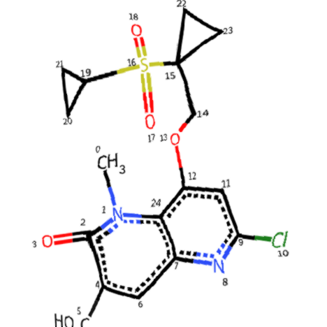 Cn1c(=O)c(C(=O)O)cc2nc(Cl)cc(OCC3(S(=O)(=O)C4CC4)CC3)c21